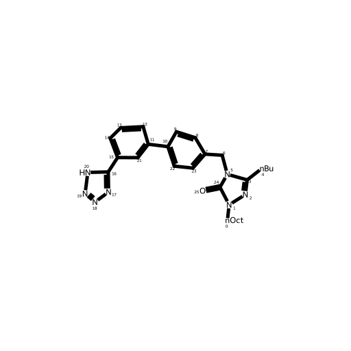 CCCCCCCCn1nc(CCCC)n(Cc2ccc(-c3cccc(-c4nnn[nH]4)c3)cc2)c1=O